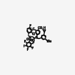 CC(C)(C)c1cc(CN(C(=O)CN(Cc2ccc(F)cc2Cl)S(=O)(=O)c2c(F)c(F)c(F)c(F)c2F)c2ccc(C(=O)O)c(C(F)(F)F)c2)cc(C2CC2)c1